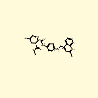 COC(=O)[C@H]1C[C@@H](F)CN[C@@H]1C(=O)Nc1ccc(OCc2cc(C)nc3ccccc23)cc1